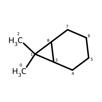 CC1(C)C2CCCCC21